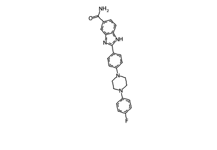 NC(=O)c1ccc2[nH]c(-c3ccc(N4CCN(c5ccc(F)cc5)CC4)cc3)nc2c1